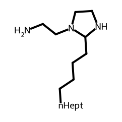 CCCCCCCCCCCC1NCCN1CCN